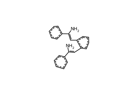 NC(=Cc1ccccc1C=C(N)c1ccccc1)c1ccccc1